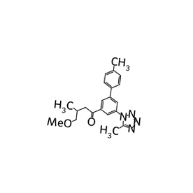 COCC(C)CC(=O)c1cc(-c2ccc(C)cc2)cc(-n2nnnc2C)c1